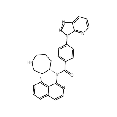 Cc1cccc2ccnc(N(C(=O)c3ccc(-n4nnc5cccnc54)cc3)[C@H]3CCCNCC3)c12